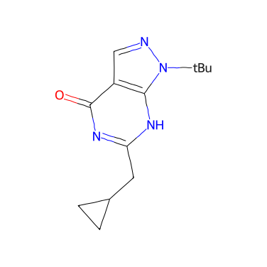 CC(C)(C)n1ncc2c(=O)nc(CC3CC3)[nH]c21